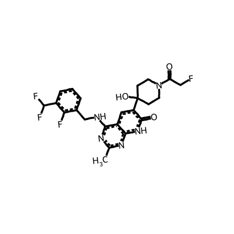 Cc1nc(NCc2cccc(C(F)F)c2F)c2cc(C3(O)CCN(C(=O)CF)CC3)c(=O)[nH]c2n1